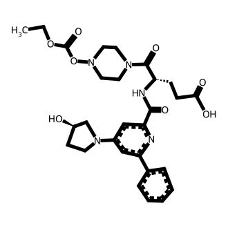 CCOC(=O)ON1CCN(C(=O)[C@H](CCC(=O)O)NC(=O)c2cc(N3CC[C@@H](O)C3)cc(-c3ccccc3)n2)CC1